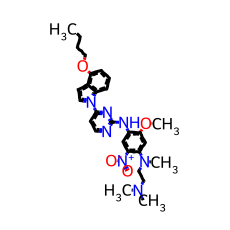 CCCCOc1cccc2c1ccn2-c1ccnc(Nc2cc([N+](=O)[O-])c(N(C)CCN(C)C)cc2OC)n1